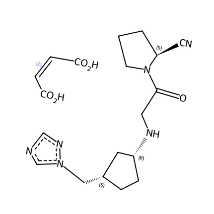 N#C[C@@H]1CCCN1C(=O)CN[C@@H]1CC[C@H](Cn2cncn2)C1.O=C(O)/C=C\C(=O)O